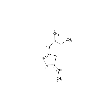 CCC(C)Sc1nnc(NC)s1